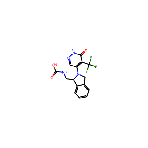 O=C(O)NCC1c2ccccc2CN1c1cn[nH]c(=O)c1C(F)(F)F